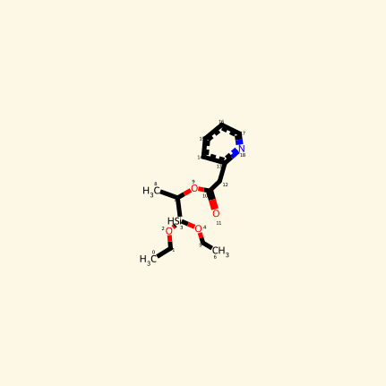 CCO[SiH](OCC)C(C)OC(=O)Cc1ccccn1